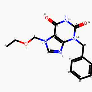 CCOCn1cnc2c1c(=O)[nH]c(=O)n2Cc1ccccc1